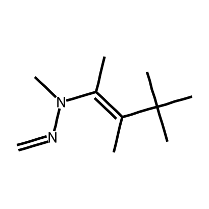 C=NN(C)/C(C)=C(\C)C(C)(C)C